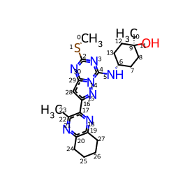 CSc1nc(N[C@H]2CC[C@](C)(O)CC2)n2nc(-c3nc4c(nc3C)CCCC4)cc2n1